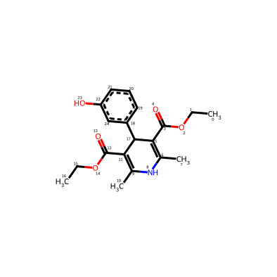 CCOC(=O)C1=C(C)NC(C)=C(C(=O)OCC)C1c1cccc(O)c1